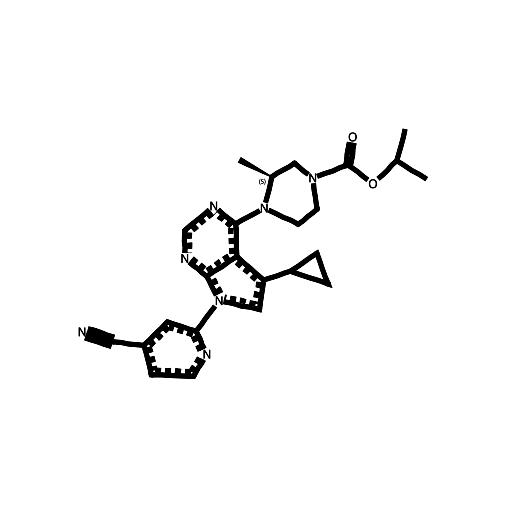 CC(C)OC(=O)N1CCN(c2ncnc3c2c(C2CC2)cn3-c2cc(C#N)ccn2)[C@@H](C)C1